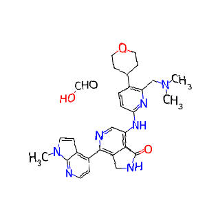 CN(C)Cc1nc(Nc2cnc(-c3ccnc4c3ccn4C)c3c2C(=O)NC3)ccc1C1CCOCC1.O=CO